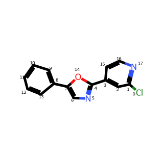 Clc1cc(-c2ncc(-c3ccccc3)o2)ccn1